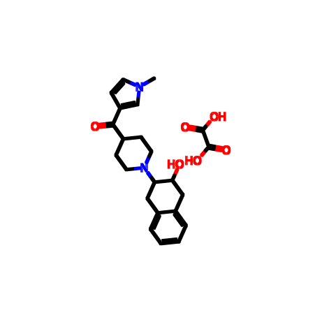 Cn1ccc(C(=O)C2CCN(C3Cc4ccccc4CC3O)CC2)c1.O=C(O)C(=O)O